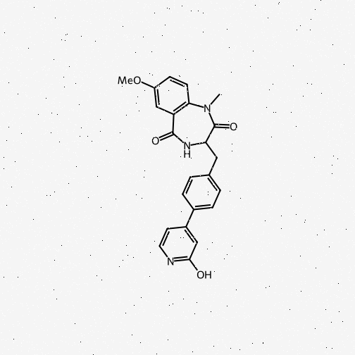 COc1ccc2c(c1)C(=O)NC(Cc1ccc(-c3ccnc(O)c3)cc1)C(=O)N2C